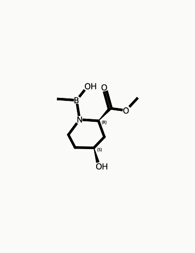 COC(=O)[C@H]1C[C@@H](O)CCN1B(C)O